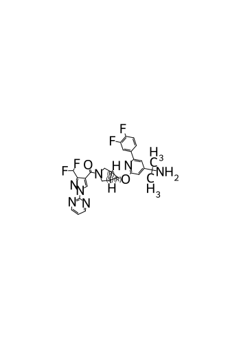 CC(C)(N)c1cc(O[C@@H]2[C@@H]3CN(C(=O)c4cn(-c5ncccn5)nc4C(F)F)C[C@@H]32)nc(-c2ccc(F)c(F)c2)c1